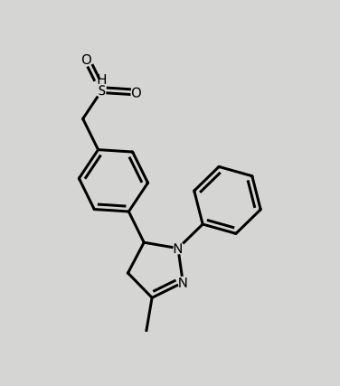 CC1=NN(c2ccccc2)C(c2ccc(C[SH](=O)=O)cc2)C1